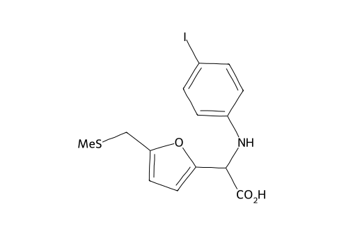 CSCc1ccc(C(Nc2ccc(I)cc2)C(=O)O)o1